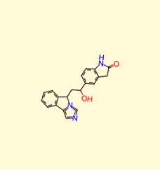 O=C1Cc2cc(C(O)CC3c4ccccc4-c4cncn43)ccc2N1